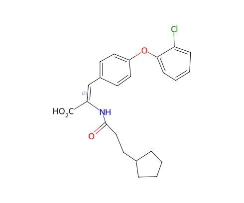 O=C(CCC1CCCC1)N/C(=C\c1ccc(Oc2ccccc2Cl)cc1)C(=O)O